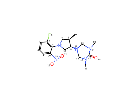 C[C@@H]1CN(c2c(F)cccc2[N+](=O)[O-])C[C@@H]1N1CN(C)C(=O)N(C)C1